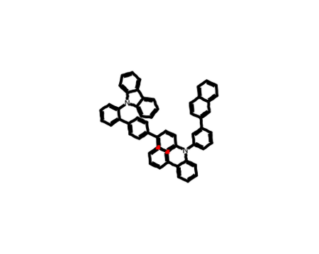 c1ccc(-c2ccccc2N(c2ccc(-c3ccc(-c4ccccc4-n4c5ccccc5c5ccccc54)cc3)cc2)c2cccc(-c3ccc4ccccc4c3)c2)cc1